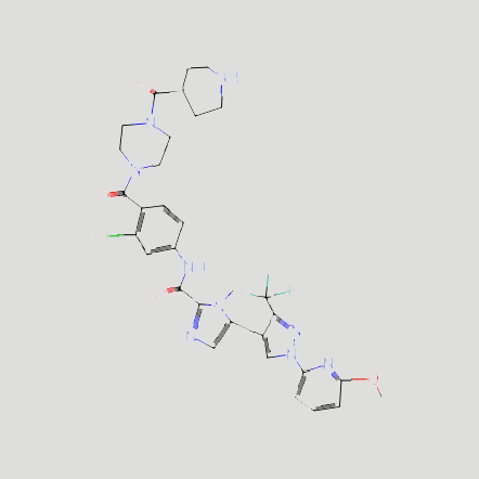 COc1cccc(-n2cc(-c3cnc(C(=O)Nc4ccc(C(=O)N5CCN(C(=O)C6CCNCC6)CC5)c(Cl)c4)n3C)c(C(F)(F)F)n2)n1